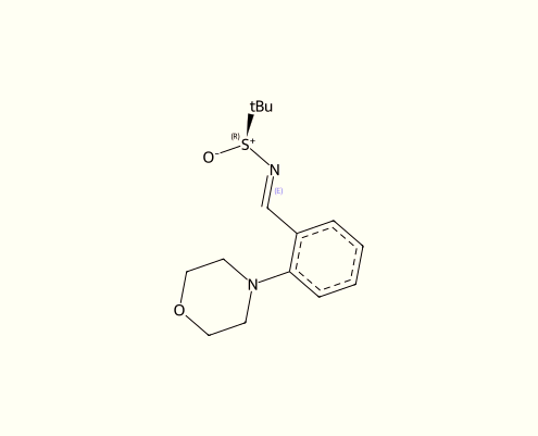 CC(C)(C)[S@+]([O-])/N=C/c1ccccc1N1CCOCC1